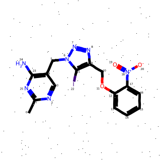 Cc1ncc(Cn2nnc(COc3ccccc3[N+](=O)[O-])c2I)c(N)n1